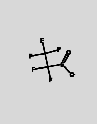 [O]S(=O)C(F)(F)C(F)(F)F